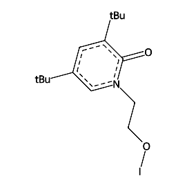 CC(C)(C)c1cc(C(C)(C)C)c(=O)n(CCOI)c1